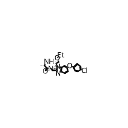 CCOCCn1c(CNC(=O)[C@H](C)N)nc2ccc(Oc3ccc(Cl)cc3)cc21